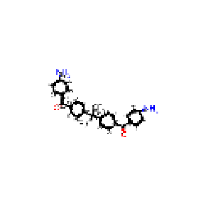 Nc1ccc(C(=O)c2ccc(C(c3ccc(C(=O)c4ccc(N)cc4)cc3)(C(F)(F)F)C(F)(F)F)cc2)cc1